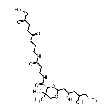 CCC(O)CC(O)CC1OCC(C)(C)[C@H](C(=O)NCCC(=O)NCCSC(=O)CCC(=O)OC)O1